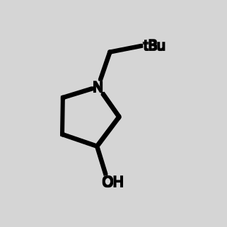 CC(C)(C)CN1CCC(O)C1